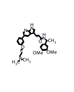 COc1ccc([C@@H](C)NC(=O)/C=C/c2c[nH]c3ncc(-c4cccc(OCCCN(C)C)c4)cc23)cc1OC